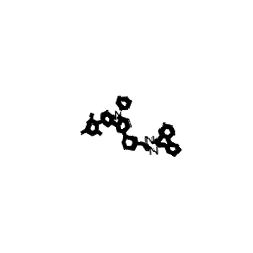 Cc1cc(C)c(-c2ccc3c(c2)c2cc(-c4cccc(-c5cnc6c7ccccc7c7ccccc7c6n5)c4)ccc2n3-c2ccccc2)c(C)c1